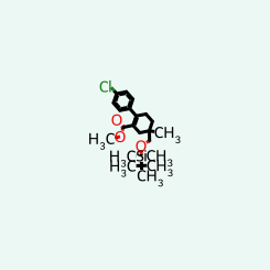 COC(=O)C1=C(c2ccc(Cl)cc2)CCC(C)(CO[Si](C)(C)C(C)(C)C)C1